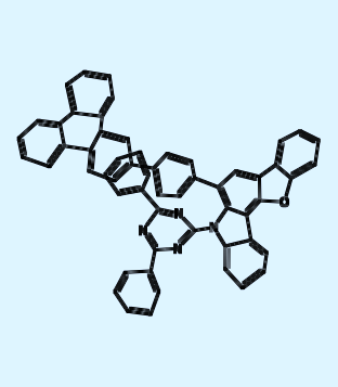 c1ccc(-c2nc(-c3ccccc3)nc(-n3c4ccccc4c4c5oc6ccccc6c5cc(-c5ccc(-c6ccc7c8ccccc8c8ccccc8c7c6)cc5)c43)n2)cc1